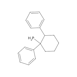 PC1(c2ccccc2)CCCCC1c1ccccc1